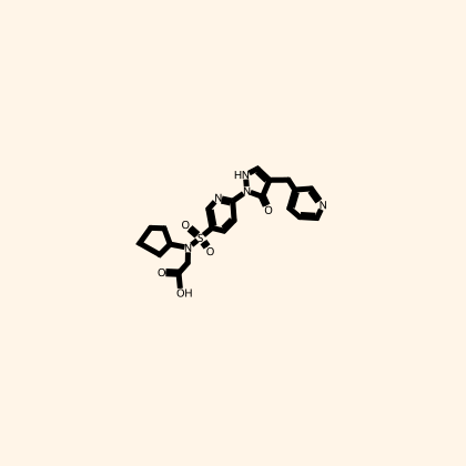 O=C(O)CN(C1CCCC1)S(=O)(=O)c1ccc(-n2[nH]cc(Cc3cccnc3)c2=O)nc1